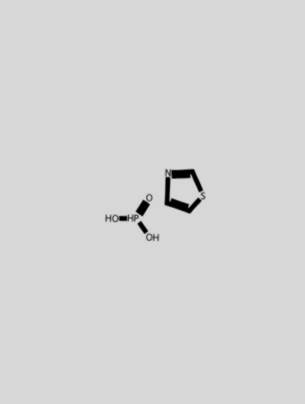 O=[PH](O)O.c1cscn1